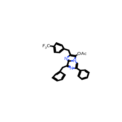 CC(=O)Oc1c(Cc2ccc(C(F)(F)F)cc2)nc2c(Cc3ccccc3)nc(-c3ccccc3)cn12